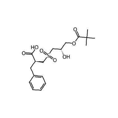 CC(C)(C)C(=O)OC[C@H](O)CS(=O)(=O)C[C@@H](Cc1ccccc1)C(=O)O